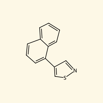 c1ccc2c(-c3cnsc3)cccc2c1